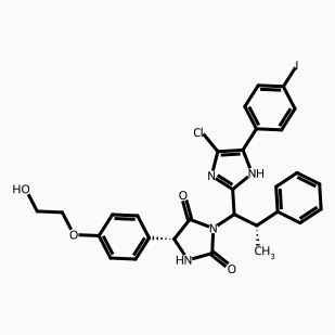 C[C@@H](c1ccccc1)C(c1nc(Cl)c(-c2ccc(I)cc2)[nH]1)N1C(=O)N[C@H](c2ccc(OCCO)cc2)C1=O